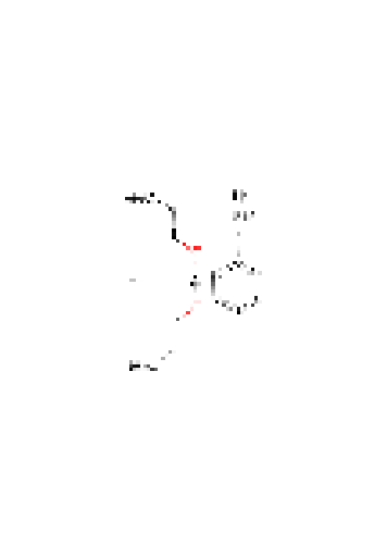 COCC[O][Al+][O]CCOC.Cc1ccccc1.[H-].[H-].[Na+]